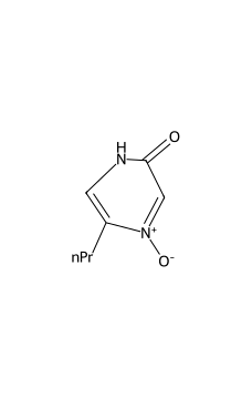 CCCc1c[nH]c(=O)c[n+]1[O-]